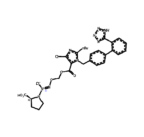 CCCCc1nc(Cl)c(C(=O)OCO/N=[N+](\[O-])N2CCC[C@H]2C(=O)O)n1Cc1ccc(-c2ccccc2-c2nnn[nH]2)cc1